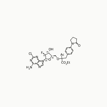 CCOC(=O)C(Cc1ccc(N2CCCC2=O)cc1)(OC[C@H]1O[C@@H](n2cnc3c(N)nc(Cl)nc32)[C@@H](F)[C@@H]1O)C(C)=O